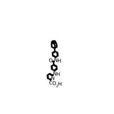 O=C(Nc1ccc(C23CC4CC(C2)C(C4)C3)cc1)c1ccc(Nc2cccc(C(=O)O)n2)cc1